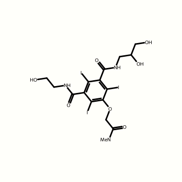 CNC(=O)COc1c(I)c(C(=O)NCCO)c(I)c(C(=O)NCC(O)CO)c1I